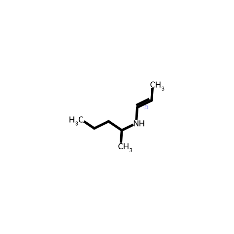 C/C=C/NC(C)CCC